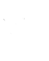 C[C@@H]1CN(Cc2ccccc2)C[C@H]1CNCc1ccccc1